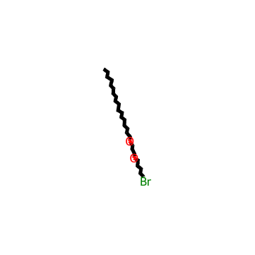 CCCCCCCCCCCCCCCCCCOCCCOCCCCCBr